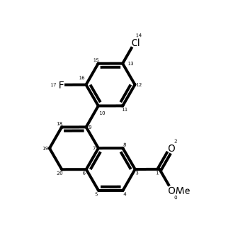 COC(=O)c1ccc2c(c1)C(c1ccc(Cl)cc1F)=CCC2